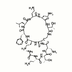 CNC(=O)N[C@@H](CCN)C(=O)N[C@H](C(=O)N[C@@H](CN)C(=O)N[C@H]1CCNC(=O)[C@H]([C@@H](C)O)NC(=O)[C@H](CCN)NC(=O)[C@H](CCN)NC(=O)[C@H](CC(C)C)NC(=O)[C@@H](Cc2ccccc2)NC(=O)[C@H](CCN)NC1=O)[C@@H](C)O